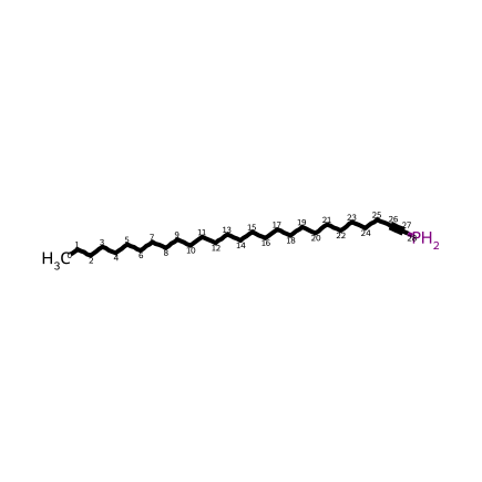 CCCCCCCCCCCCCCCCCCCCCCCCCCC#CP